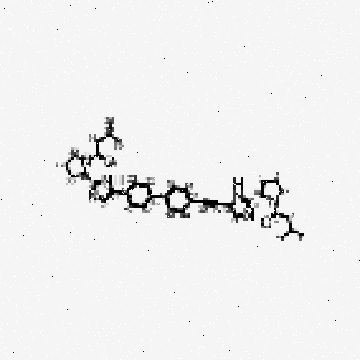 CC(C)CC(=O)N1CCC[C@H]1c1ncc(C#Cc2ccc(-c3ccc(-c4cnc([C@@H]5CCCN5C(=O)CC(C)C)[nH]4)cc3)cc2)[nH]1